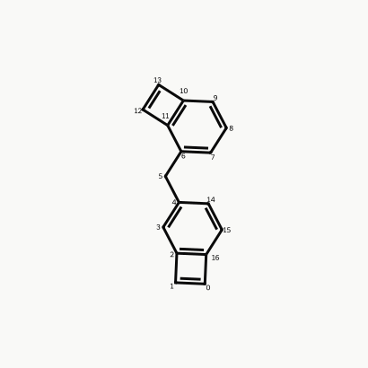 C1=Cc2cc(Cc3cccc4c3C=C4)ccc21